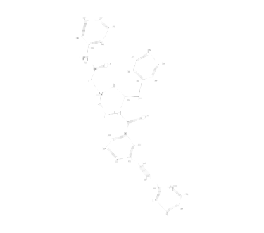 O=C(CN1CCN(C(=O)c2cccc(C#Cc3ccccn3)c2)C(Cc2ccccc2)C1)Nc1ccccc1